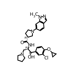 Cn1ncc2ccc(N3CC[C@@H](C(=O)N[C@H](CN4CCCC4)[C@H](O)c4ccc(OC5CC5)c(Cl)c4)C3)cc21